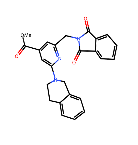 COC(=O)c1cc(CN2C(=O)c3ccccc3C2=O)nc(N2CCc3ccccc3C2)c1